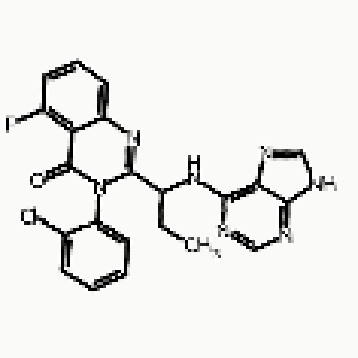 CCC(Nc1ncnc2[nH]cnc12)c1nc2cccc(F)c2c(=O)n1-c1ccccc1Cl